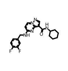 O=C(NC1CCCCC1)c1cnn2ccc(NCc3ccc(F)c(F)c3)nc12